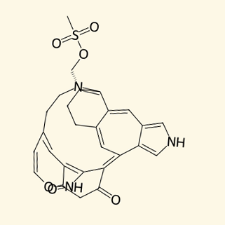 CS(=O)(=O)OC[C@H]1CCC2=C/C3=C4/C(=O)CC(=O)c5cc(cco[nH]c54)CC/N=C/1C2=Cc1c[nH]cc13